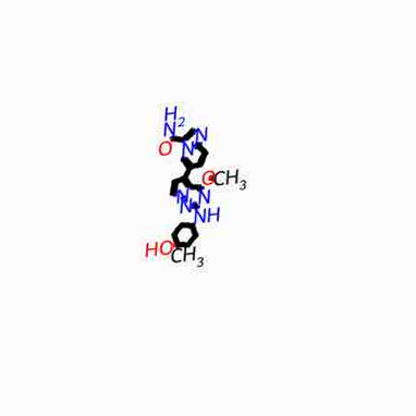 COc1nc(N[C@H]2CC[C@](C)(O)CC2)nn2ccc(-c3ccc4ncc(C(N)=O)n4c3)c12